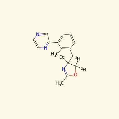 [2H]C1([2H])OC(C)=NC1(CC)Cc1cccc(-c2cnccn2)c1C